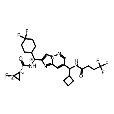 O=C(CCC(F)(F)F)NC(c1cnn2cc([C@@H](NC(=O)[C@@H]3C[C@H]3F)C3CCC(F)(F)CC3)nc2c1)C1CCC1